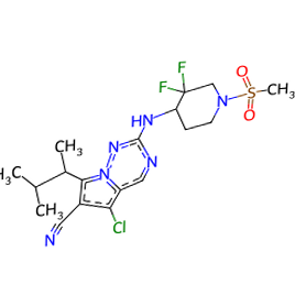 CC(C)C(C)c1c(C#N)c(Cl)c2cnc(NC3CCN(S(C)(=O)=O)CC3(F)F)nn12